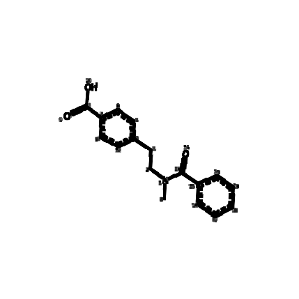 CN(CCc1ccc(C(=O)O)cc1)C(=O)c1ccccc1